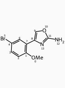 COc1ccc(Br)cc1-c1coc(N)n1